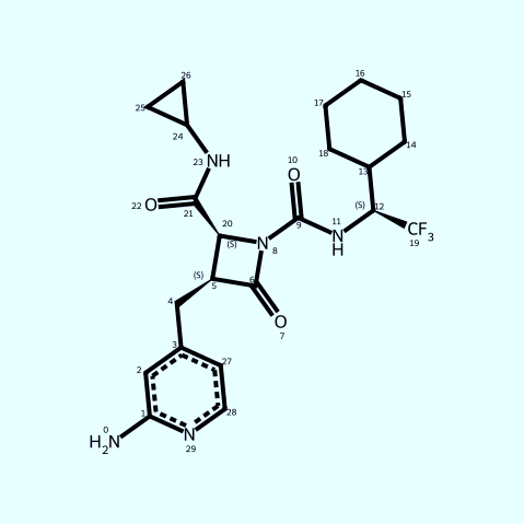 Nc1cc(C[C@@H]2C(=O)N(C(=O)N[C@@H](C3CCCCC3)C(F)(F)F)[C@@H]2C(=O)NC2CC2)ccn1